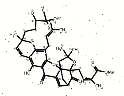 C=C1C2C=C3C(=O)c4c(O)c5c(c(CC=C(C)C)c4OC34C(C2)C(C)(C)OC14C/C=C(/C)C(=O)OC)OC(C)(CCC(O)C(C)(C)O)C=C5